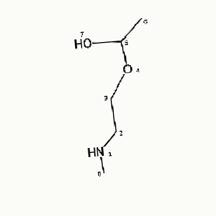 CNCCOC(C)O